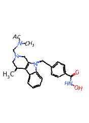 CC(=O)N(C)CN1Cc2c(c3ccccc3n2Cc2ccc(C(=O)NO)cc2)C(C)C1